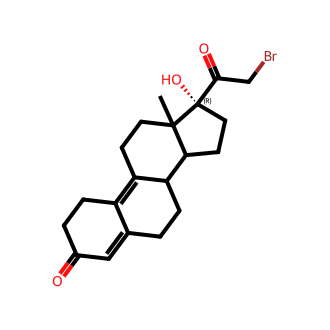 CC12CCC3=C4CCC(=O)C=C4CCC3C1CC[C@]2(O)C(=O)CBr